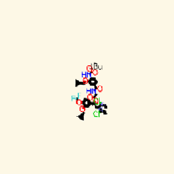 C=C/C(Cl)=C(C[C@H](OC(=O)CNC(=O)c1ccc(NC(=O)OC(C)(C)C)c(OCC2CC2)c1)c1ccc(OC(F)F)c(OCC2CC2)c1)\C(Cl)=C/C